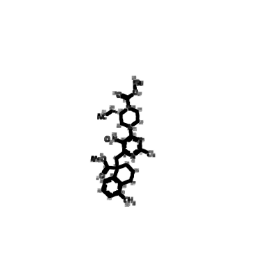 COC(=O)C1(Cc2nc(Cl)nc(N3CCN(C(=O)OC(C)(C)C)[C@@H](CC#N)C3)c2[N+](=O)[O-])CCCc2c(C)cccc21